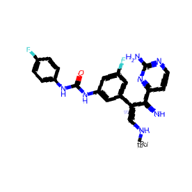 CC(C)(C)N/C=C(\C(=N)c1ccnc(N)n1)c1cc(F)cc(NC(=O)Nc2ccc(F)cc2)c1